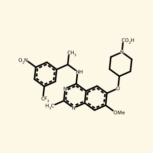 COc1cc2nc(C)nc(NC(C)c3cc([N+](=O)[O-])cc(C(F)(F)F)c3)c2cc1OC1CCN(C(=O)O)CC1